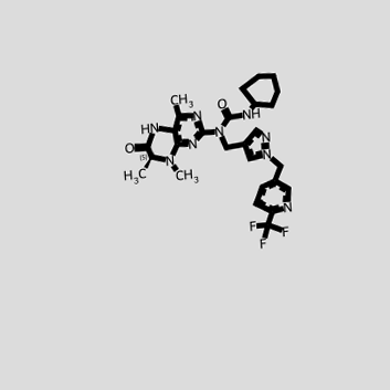 Cc1nc(N(Cc2cnn(Cc3ccc(C(F)(F)F)nc3)c2)C(=O)NC2CCCCC2)nc2c1NC(=O)[C@H](C)N2C